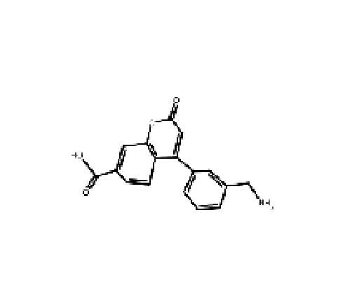 NCc1cccc(-c2cc(=O)oc3cc(C(=O)O)ccc23)c1